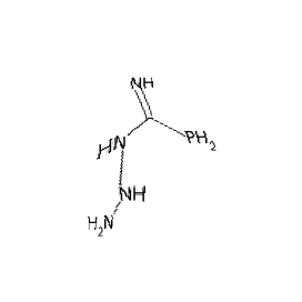 N=C(P)NNN